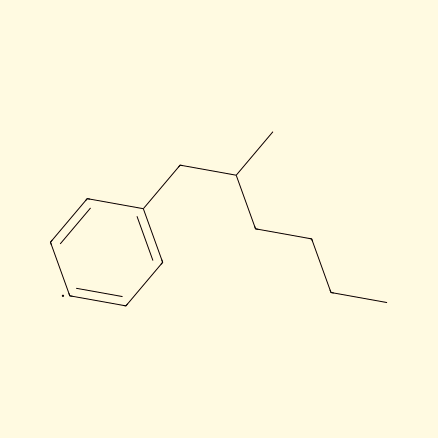 CCCCC(C)Cc1cc[c]cc1